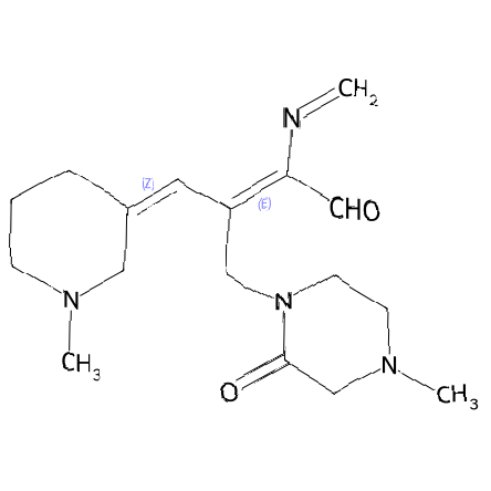 C=N/C(C=O)=C(\C=C1\CCCN(C)C1)CN1CCN(C)CC1=O